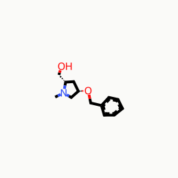 CN1C[C@@H](OCc2ccccc2)C[C@H]1CO